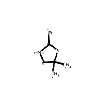 CC(C)C1N[CH]C(C)(C)S1